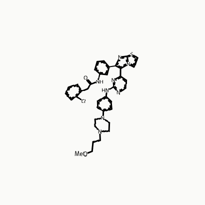 COCCCN1CCN(c2ccc(Nc3nccc(-c4c(-c5cccc(NC(=O)Cc6ccccc6Cl)c5)nc5sccn45)n3)cc2)CC1